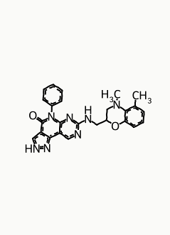 Cc1cccc2c1N(C)CC(CNc1ncc3c4n[nH]cc4c(=O)n(-c4ccccc4)c3n1)O2